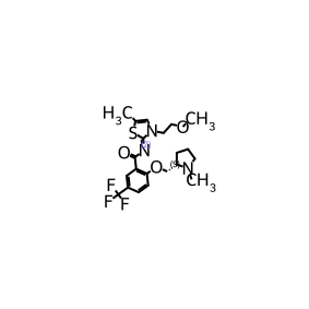 COCCn1cc(C)s/c1=N\C(=O)c1cc(C(F)(F)F)ccc1OC[C@@H]1CCCN1C